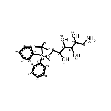 CC(C)(C)[Si](OCC(O)C(O)C(O)C(O)CN)(c1ccccc1)c1ccccc1